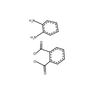 Nc1ccccc1N.O=C(Cl)c1ccccc1C(=O)Cl